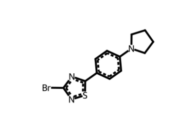 Brc1nsc(-c2ccc(N3CCCC3)cc2)n1